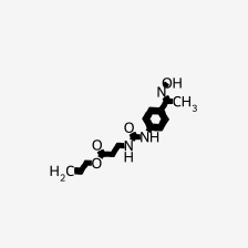 C=CCOC(=O)CCNC(=O)Nc1ccc(C(C)=NO)cc1